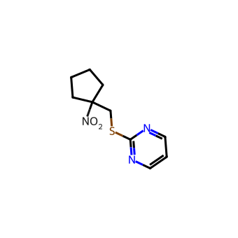 O=[N+]([O-])C1(CSc2ncccn2)CCCC1